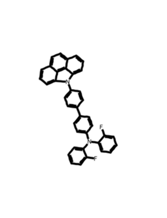 Fc1ccccc1N(c1ccc(-c2ccc(-n3c4cccc5ccc6cccc3c6c54)cc2)cc1)c1ccccc1F